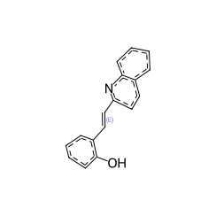 Oc1ccccc1/C=C/c1ccc2ccccc2n1